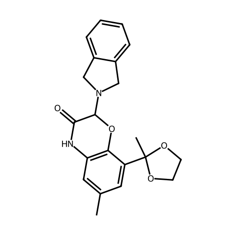 Cc1cc2c(c(C3(C)OCCO3)c1)OC(N1Cc3ccccc3C1)C(=O)N2